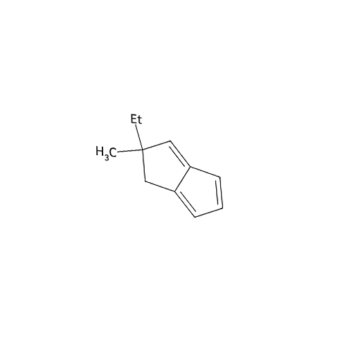 CCC1(C)C=C2C=CC=C2C1